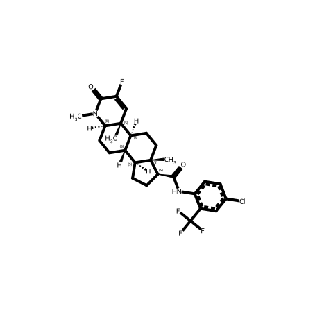 CN1C(=O)C(F)=C[C@]2(C)[C@H]3CC[C@]4(C)[C@@H](C(=O)Nc5ccc(Cl)cc5C(F)(F)F)CC[C@H]4[C@@H]3CC[C@@H]12